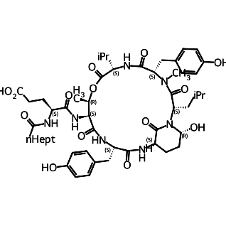 CCCCCCCC(=O)N[C@@H](CCC(=O)O)C(=O)N[C@@H]1C(=O)N[C@@H](Cc2ccc(O)cc2)C(=O)N[C@H]2CC[C@@H](O)N(C2=O)[C@@H](CC(C)C)C(=O)N(C)[C@@H](Cc2ccc(O)cc2)C(=O)N[C@@H](C(C)C)C(=O)O[C@@H]1C